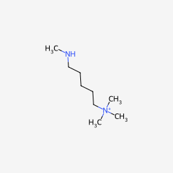 CNCCCCC[N+](C)(C)C